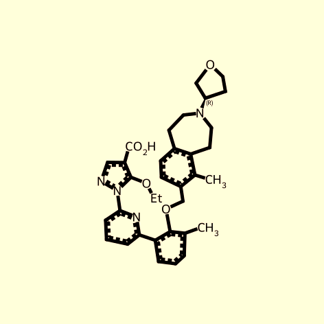 CCOc1c(C(=O)O)cnn1-c1cccc(-c2cccc(C)c2OCc2ccc3c(c2C)CCN([C@@H]2CCOC2)CC3)n1